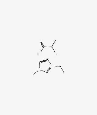 CC(N)C(=O)O.CC[n+]1ccn(C)c1